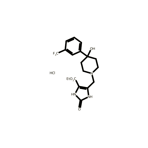 CCOC(=O)c1[nH]c(=O)[nH]c1CN1CCC(O)(c2cccc(C(F)(F)F)c2)CC1.Cl